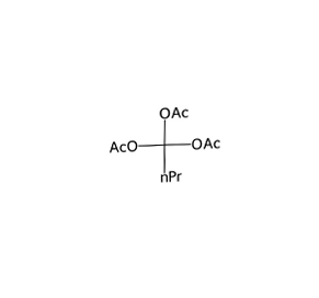 CCCC(OC(C)=O)(OC(C)=O)OC(C)=O